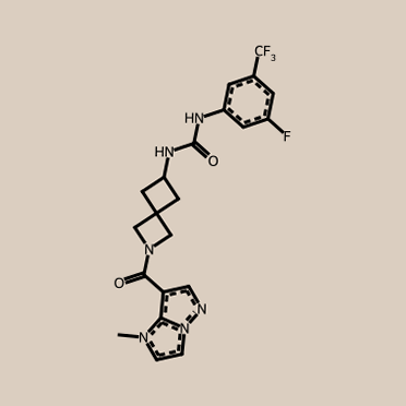 Cn1ccn2ncc(C(=O)N3CC4(CC(NC(=O)Nc5cc(F)cc(C(F)(F)F)c5)C4)C3)c12